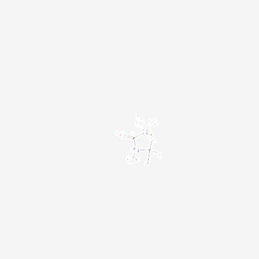 CC1(C)C[N+]([O-])(Cl)C(=O)N1Cl